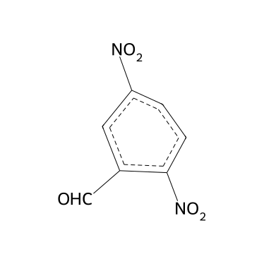 O=Cc1cc([N+](=O)[O-])ccc1[N+](=O)[O-]